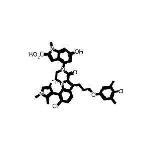 Cc1cc(OCCCc2c3n(c4c(-c5c(C)cn(C)c5C)c(Cl)ccc24)[C@H](C)CN(c2cc(O)cc4c2cc(C(=O)O)n4C)C3=O)cc(C)c1Cl